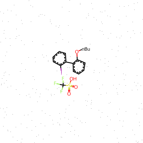 CCCCOc1ccccc1-c1ccccc1I.O=S(=O)(O)C(F)(F)F